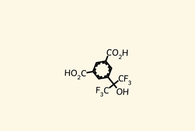 O=C(O)c1cc(C(=O)O)cc(C(O)(C(F)(F)F)C(F)(F)F)c1